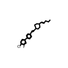 CCCC=CC1CCC(C#Cc2ccc(-c3ccc(Cl)c(F)c3)cc2)CC1